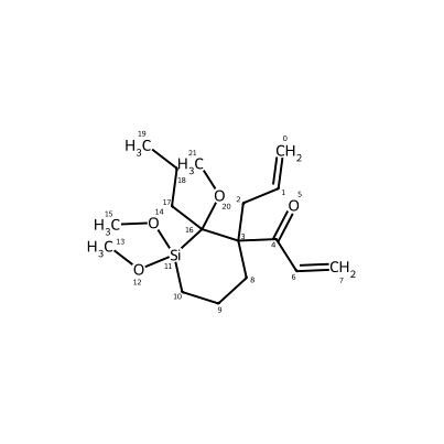 C=CCC1(C(=O)C=C)CCC[Si](OC)(OC)C1(CCC)OC